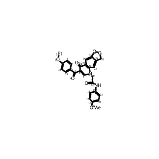 CCOc1ccc(C(=O)c2cn(CC(=O)Nc3ccc(OC)cc3)c3cc4c(cc3c2=O)OOC4)cc1